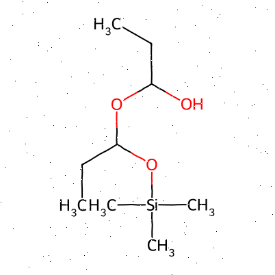 CCC(O)OC(CC)O[Si](C)(C)C